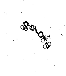 O=C(C[C@H]1COCCO1)NC1CCC(CCN2CCN(c3cccc4c3OCO4)CC2)CC1